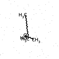 CCCCCCCCCCCCCCCCC(C(=O)O)C(C)CCCC